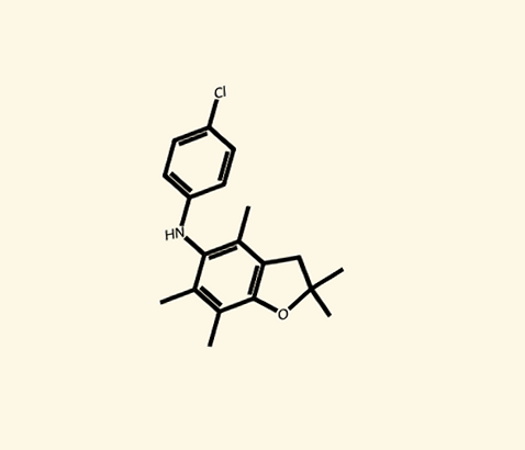 Cc1c(C)c2c(c(C)c1Nc1ccc(Cl)cc1)CC(C)(C)O2